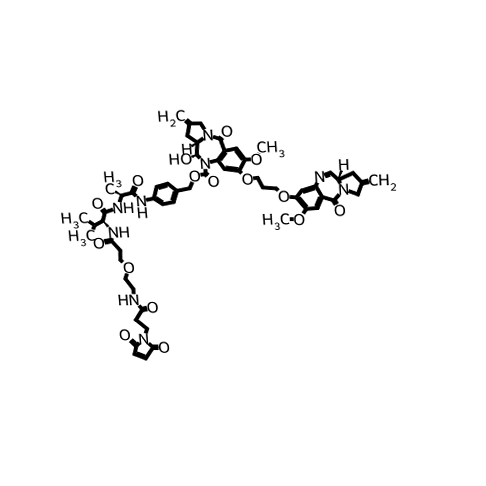 C=C1C[C@H]2C=Nc3cc(OCCCOc4cc5c(cc4OC)C(=O)N4CC(=C)C[C@H]4[C@H](O)N5C(=O)OCc4ccc(NC(=O)[C@H](C)NC(=O)[C@@H](NC(=O)CCOCCNC(=O)CCN5C(=O)C=CC5=O)C(C)C)cc4)c(OC)cc3C(=O)N2C1